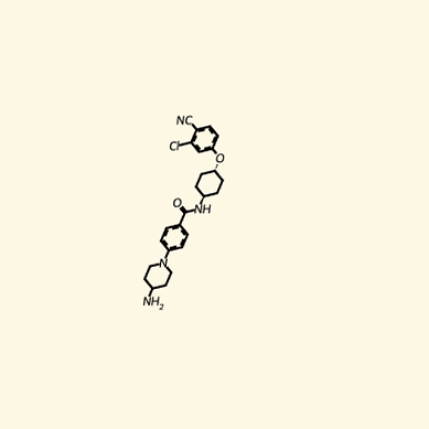 N#Cc1ccc(O[C@H]2CC[C@H](NC(=O)c3ccc(N4CCC(N)CC4)cc3)CC2)cc1Cl